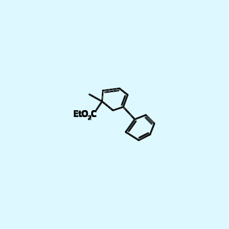 CCOC(=O)C1(C)C=CC=C(c2ccccc2)C1